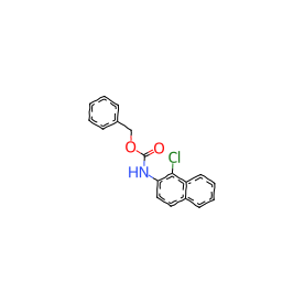 O=C(Nc1ccc2ccccc2c1Cl)OCc1ccccc1